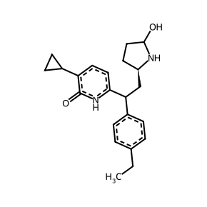 CCc1ccc(C(C[C@H]2CCC(O)N2)c2ccc(C3CC3)c(=O)[nH]2)cc1